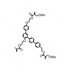 C=C(C)C(=O)OCCOc1ccc(-c2ccc(OCCOC(=O)C(=C)COC)cc2)cc1-c1ccc(-c2ccc(CCOC(=O)C(=C)COC)cc2)cc1